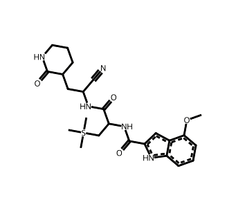 COc1cccc2[nH]c(C(=O)NC(CS(C)(C)C)C(=O)NC(C#N)CC3CCCNC3=O)cc12